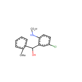 COc1ccccc1C(O)c1cc(Cl)ccc1NC(=O)O